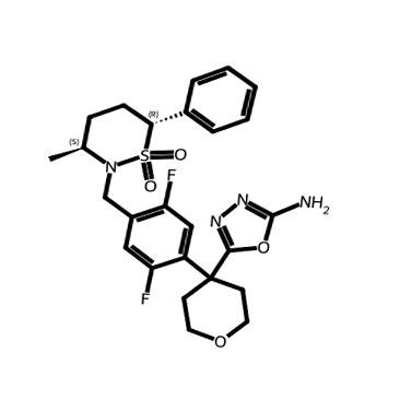 C[C@H]1CC[C@H](c2ccccc2)S(=O)(=O)N1Cc1cc(F)c(C2(c3nnc(N)o3)CCOCC2)cc1F